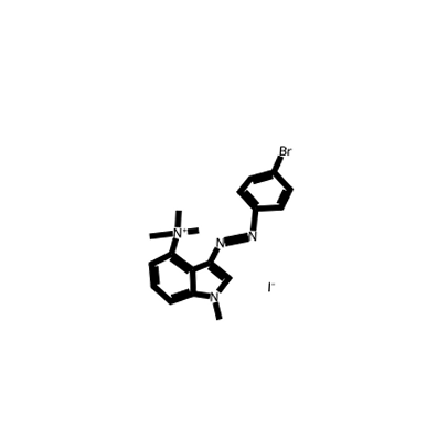 Cn1cc(/N=N/c2ccc(Br)cc2)c2c([N+](C)(C)C)cccc21.[I-]